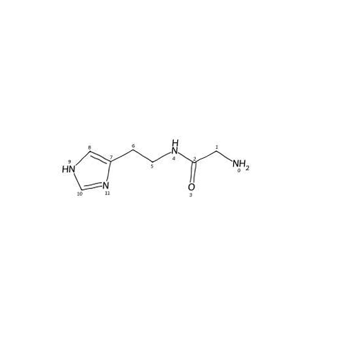 NCC(=O)NCCc1c[nH]cn1